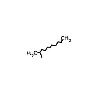 C=CCCCCCCCC(C)I